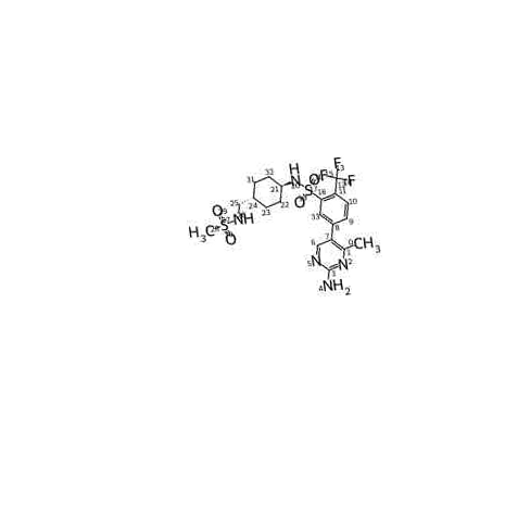 Cc1nc(N)ncc1-c1ccc(C(F)(F)F)c(S(=O)(=O)N[C@H]2CC[C@H](CNS(C)(=O)=O)CC2)c1